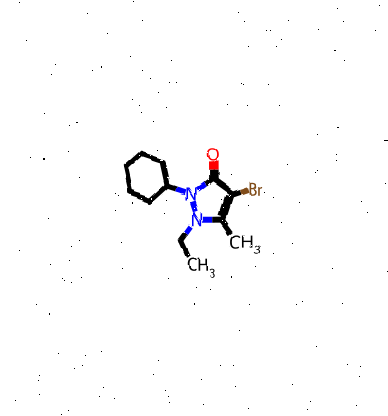 CCn1c(C)c(Br)c(=O)n1C1CCCCC1